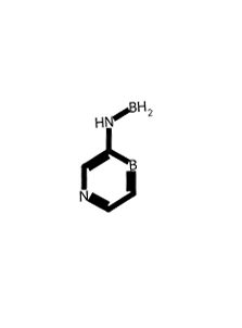 BNc1bccnc1